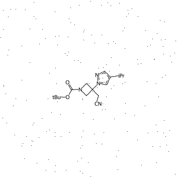 CC(C)c1cnn(C2(CC#N)CN(C(=O)OC(C)(C)C)C2)c1